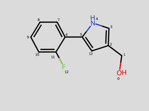 OCc1c[nH]c(-c2ccccc2F)c1